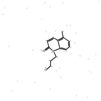 Cc1cccc2c1ccc(=O)n2CCCCl